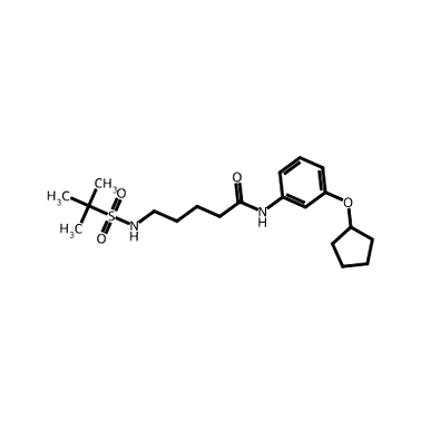 CC(C)(C)S(=O)(=O)NCCCCC(=O)Nc1cccc(OC2CCCC2)c1